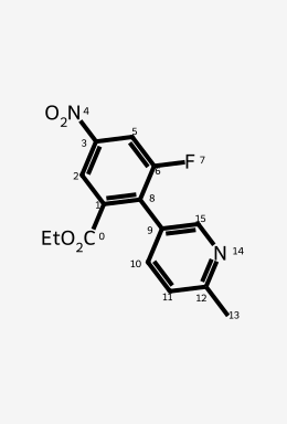 CCOC(=O)c1cc([N+](=O)[O-])cc(F)c1-c1ccc(C)nc1